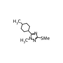 CSc1nc(C2CCC(C)CC2)n(C)n1